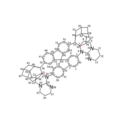 c1cc2c(cc1N1CCCN3CCCN=C31)C1(c3cc(N4CCCN5CCCN=C54)ccc3-2)c2cc(C34CC5CC6CC(C3)C6(C5)C4)ccc2-c2ccc(C34CC5CC6CC(C3)C6(C5)C4)cc21